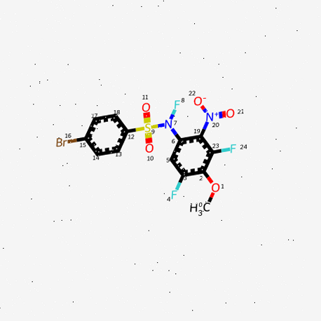 COc1c(F)cc(N(F)S(=O)(=O)c2ccc(Br)cc2)c([N+](=O)[O-])c1F